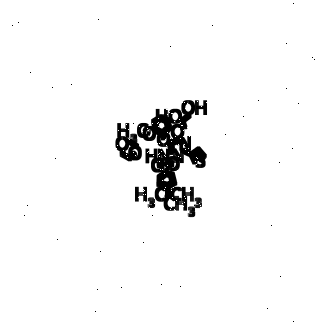 C1COCCO1.COc1ccccc1Oc1c(NS(=O)(=O)c2ccc(C(C)(C)C)cc2)nc(-c2ccsc2)nc1OC[C@H](O)CO